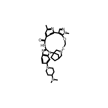 Cc1cc2cc(n1)-c1cnn(C)c1OCCN1CC3CCC(C3)(C1)n1c(nc3ccc(N4CCC(N(C)C)CC4)cc31)NC2=O